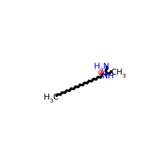 CCCCCCCCCCCCCCCCCCCCCC(=O)NC(CCC)CCN